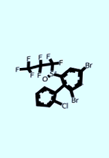 [O-][S+](c1cc(Br)[c]c(Br)c1-c1ccccc1Cl)C(F)(F)C(F)(F)C(F)(F)F